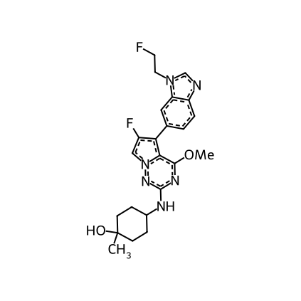 COc1nc(NC2CCC(C)(O)CC2)nn2cc(F)c(-c3ccc4ncn(CCF)c4c3)c12